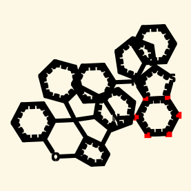 c1ccc(N(c2ccccc2)c2ccccc2N(c2cccc3c2C2(c4ccccc4O3)c3ccccc3-c3ccccc32)c2cccc3sc4ccccc4c23)cc1